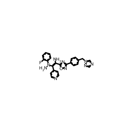 N/C(=C(/c1ccncc1)N(N)c1ccccc1F)c1nc(-c2ccc(Cn3cncn3)cc2)no1